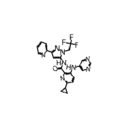 O=C(Nc1cc(-c2ccccn2)nn1CC(F)(F)F)c1nc(C2CC2)ccc1Nc1cncnc1